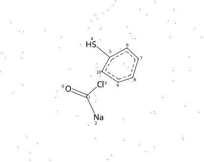 O=[C]([Na])Cl.Sc1ccccc1